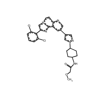 COCC(=O)NC1CCC(n2cc(-c3cnc4ccn5cc(-c6c(Cl)cccc6Cl)nc5c4c3)cn2)CC1